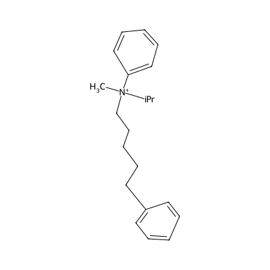 CC(C)[N+](C)(CCCCCc1ccccc1)c1ccccc1